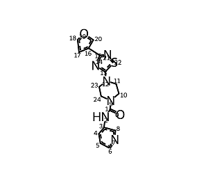 O=C(Nc1cccnc1)N1CCN(c2nc(-c3ccoc3)ns2)CC1